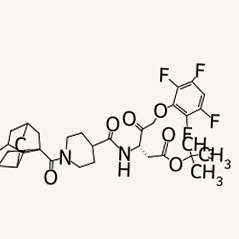 CC(C)(C)OC(=O)C[C@H](NC(=O)C1CCN(C(=O)C23CC4CC5CC(C2)C(C4)C53)CC1)C(=O)COc1c(F)c(F)cc(F)c1F